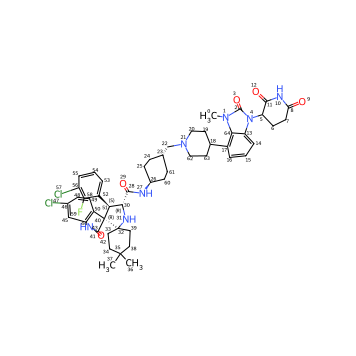 Cn1c(=O)n(C2CCC(=O)NC2=O)c2cccc(C3CCN(C[C@H]4CC[C@H](NC(=O)[C@@H]5NC6(CCC(C)(C)CC6)[C@@]6(C(=O)Nc7cc(Cl)ccc76)[C@H]5c5cccc(Cl)c5F)CC4)CC3)c21